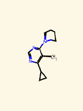 Cc1c(C2CC2)ncnc1N1CCC1